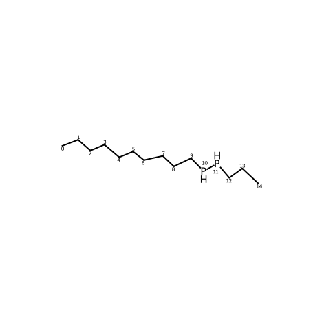 CCCCCCCCCCPPCCC